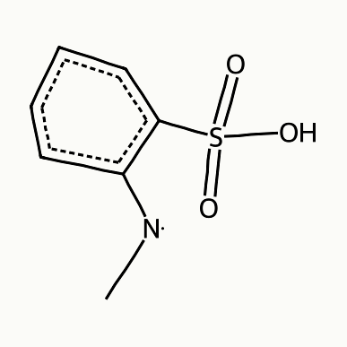 C[N]c1ccccc1S(=O)(=O)O